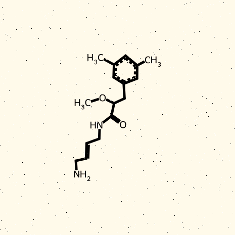 COC(Cc1cc(C)cc(C)c1)C(=O)NCC=CCN